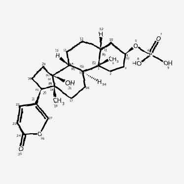 C[C@]12CC[C@H](OP(=O)(O)O)C[C@H]1CC[C@@H]1[C@@H]2CC[C@]2(C)[C@@H](c3ccc(=O)oc3)CC[C@]12O